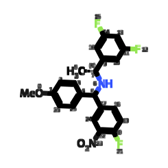 COc1ccc(C(N[C@H](C)c2cc(F)cc(F)c2)c2ccc(F)c([N+](=O)[O-])c2)cc1